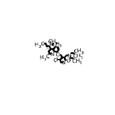 C=C/C=C(/c1cc(C)nc2c(OCc3c(Cl)cncc3CN(CCC)C(=O)C(C)C)cccc12)N(C)C